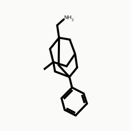 CC12CC3CC(CN)(C1)CC(c1ccccc1)(C3)C2